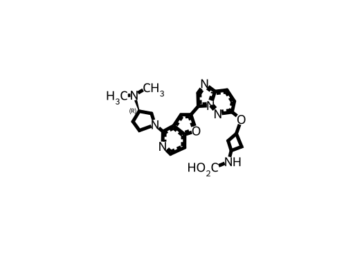 CN(C)[C@@H]1CCN(c2nccc3oc(-c4cnc5ccc(OC6CC(NC(=O)O)C6)nn45)cc23)C1